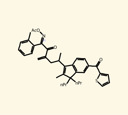 C=C(CC(C)C1=C(C)C(CCC)(CCC)c2cc(C(=O)c3cccs3)ccc21)C(=O)/C(=N/OC(C)=O)c1ccccc1C